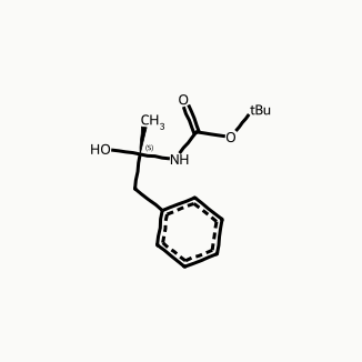 CC(C)(C)OC(=O)N[C@@](C)(O)Cc1ccccc1